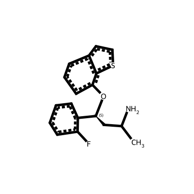 CC(N)C[C@H](Oc1cccc2ccsc12)c1ccccc1F